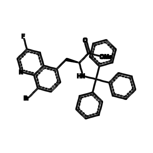 COC(=O)[C@H](Cc1ccc(Br)c2ncc(F)cc12)NC(c1ccccc1)(c1ccccc1)c1ccccc1